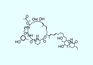 CC[C@H]1C[C@H](C)C2(NC1=O)OC(C[C@H](O)[C@@H](C)CC/C=C/C=C(\C)C1C/C=C/C(C)=C/[C@H](O)[C@H](C)[C@@H](O)[C@@H](CCC(C)=O)C(=O)N[C@@H](C(C)C)C(=O)N[C@@H](Cc3cccc(O)c3)C(=O)N3CCCC(N3)C(=O)O1)[C@H](C)[C@H](O)[C@@H]2C